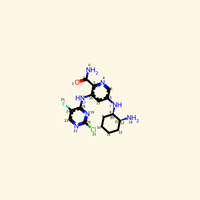 NC(=O)c1ncc(N[C@@H]2CCCC[C@@H]2N)cc1Nc1nc(Cl)ncc1F